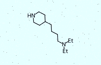 CCN(CC)CCCCC1CCNCC1